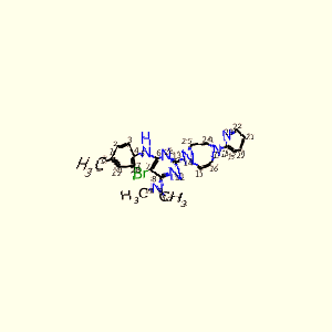 Cc1ccc(Nc2cc(N(C)C)nc(N3CCN(c4ccccn4)CC3)n2)c(Br)c1